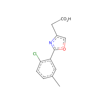 Cc1ccc(Cl)c(-c2nc(CC(=O)O)co2)c1